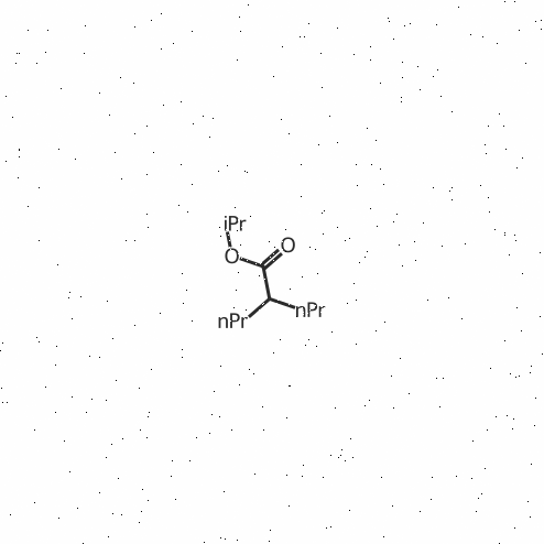 CCCC(CCC)C(=O)OC(C)C